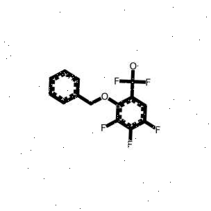 [O]C(F)(F)c1cc(F)c(F)c(F)c1OCc1ccccc1